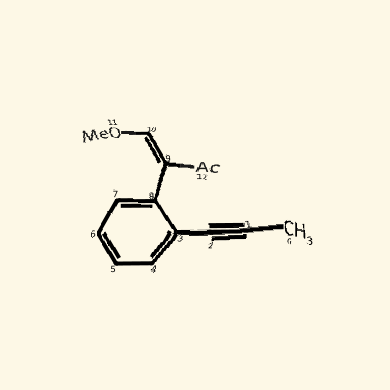 CC#Cc1ccccc1/C(=C\OC)C(C)=O